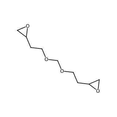 C(CC1CO1)OCOCCC1CO1